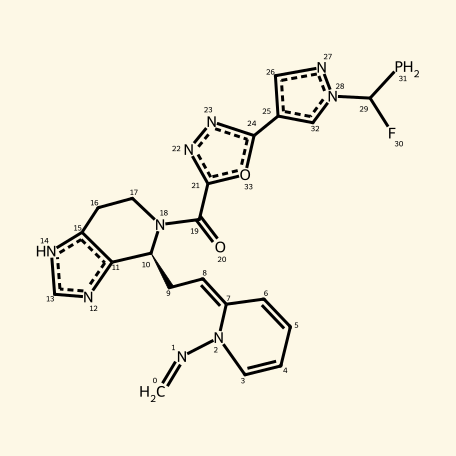 C=NN1C=CC=C/C1=C/C[C@H]1c2nc[nH]c2CCN1C(=O)c1nnc(-c2cnn(C(F)P)c2)o1